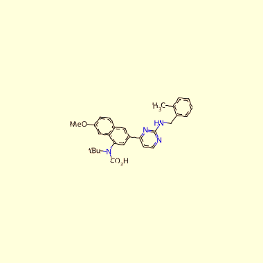 COc1ccc2cc(-c3ccnc(NCc4ccccc4C)n3)cc(N(C(=O)O)C(C)(C)C)c2c1